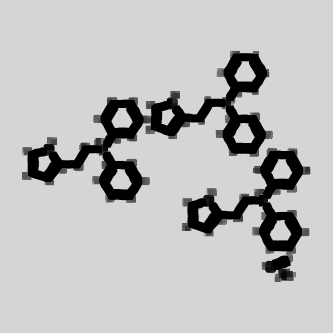 [C]=O.[Rh].c1ccc(P(CCc2ccco2)c2ccccc2)cc1.c1ccc(P(CCc2ccco2)c2ccccc2)cc1.c1ccc(P(CCc2ccco2)c2ccccc2)cc1